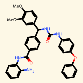 COc1ccc(C(NC(=O)Nc2ccc(Oc3ccccc3)cc2)c2ccc(C(=O)Nc3ccccc3N)cc2)cc1OC